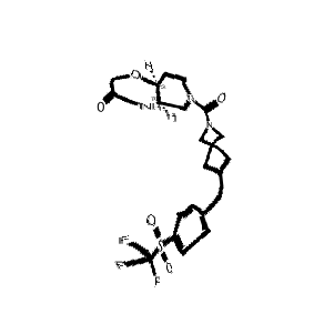 O=C1CO[C@H]2CCN(C(=O)N3CC4(CC(Cc5ccc(S(=O)(=O)C(F)(F)F)cc5)C4)C3)C[C@H]2N1